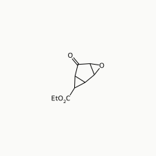 CCOC(=O)C1C2C(=O)C3OC3C12